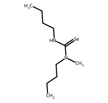 CCCCNC(=[Se])N(C)CCCC